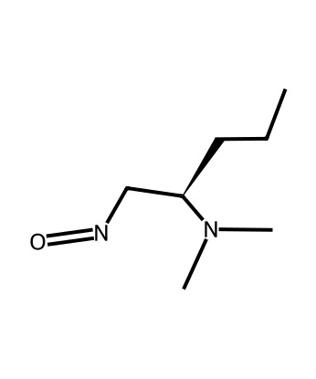 CCC[C@H](CN=O)N(C)C